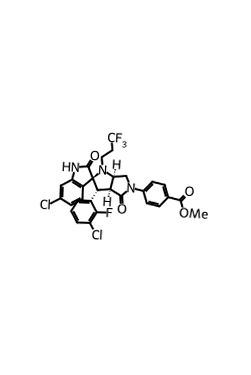 COC(=O)c1ccc(N2C[C@H]3[C@@H](C2=O)[C@H](c2cccc(Cl)c2F)[C@]2(C(=O)Nc4cc(Cl)ccc42)N3CCC(F)(F)F)cc1